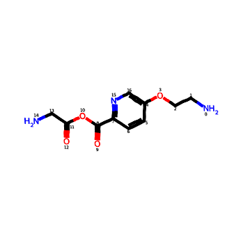 NCCOc1ccc(C(=O)OC(=O)CN)nc1